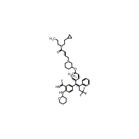 C=C(\C=C/C(=C\C)C(=C(/CC(F)(F)F)c1ccccc1)/c1ccc(NC2CCCCO2)c(C(=N)F)c1)OC1CCCN(C/C=C/C(=O)N(CCC)CCC2CC2)C1